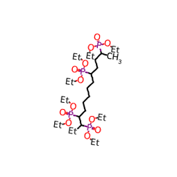 CCOP(=O)(OCC)C(C)CCC(CCCCCC(C(CC)P(=O)(OCC)OCC)P(=O)(OCC)OCC)P(=O)(OCC)OCC